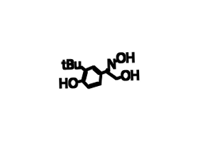 CC(C)(C)c1cc(C(CO)=NO)ccc1O